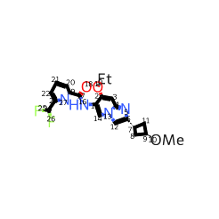 CCOc1cc2nc([C@H]3C[C@@H](OC)C3)cn2cc1NC(=O)c1cccc(C(F)F)n1